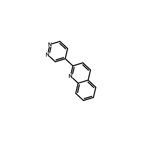 c1ccc2nc(-c3ccnnc3)ccc2c1